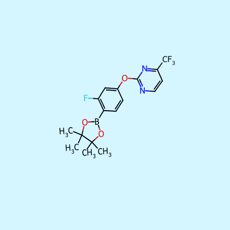 CC1(C)OB(c2ccc(Oc3nccc(C(F)(F)F)n3)cc2F)OC1(C)C